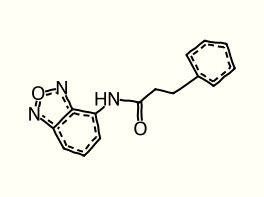 O=C(CCc1ccccc1)Nc1cccc2nonc12